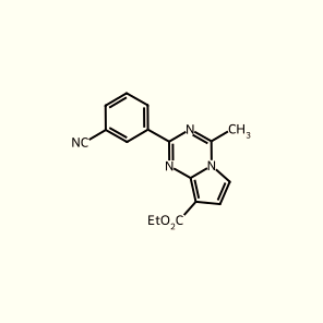 CCOC(=O)c1ccn2c(C)nc(-c3cccc(C#N)c3)nc12